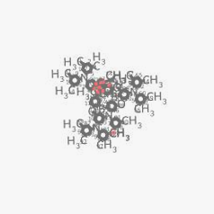 Cc1cc(C)cc(N(c2cc(C)cc(C)c2)c2cc3c4c(c2)Oc2cc5c(cc2B4c2cc(C(C)(C)C)ccc2O3)B2c3cc4c(cc3Oc3cc(N(c6cc(C)cc(C)c6)c6cc(C)cc(C)c6)cc(c32)O5)N(c2cc(C)cc(C)c2)c2cc(N(c3cc(C)cc(C)c3)c3cc(C)cc(C)c3)cc3c2B4c2cc(C(C)(C)C)ccc2O3)c1